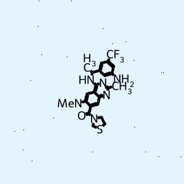 CNc1cc2c(NC(C)c3cc(N)cc(C(F)(F)F)c3)nc(C)nc2cc1C(=O)N1CCSC1